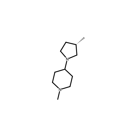 C[C@H]1CCN(C2CCN(C)CC2)C1